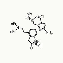 CCCN(CCC)CCc1cccc2c1CC(=O)N2.CCCN[C@H]1CCc2nc(N)sc2C1.Cl.Cl.Cl